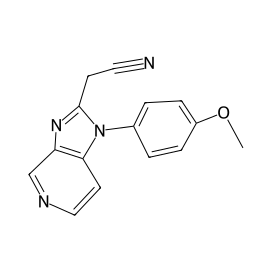 COc1ccc(-n2c(CC#N)nc3cnccc32)cc1